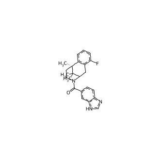 CC1(C)C2Cc3c(F)cccc3[C@]1(C)CCN2C(=O)c1ccc2nc[nH]c2c1